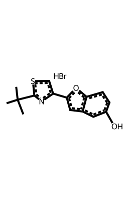 Br.CC(C)(C)c1nc(-c2cc3cc(O)ccc3o2)cs1